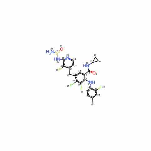 Cc1ccc(Nc2c(C(=O)NC3CC3)cc(Cc3ccnc(N[S+](N)[O-])c3F)c(F)c2F)c(F)c1